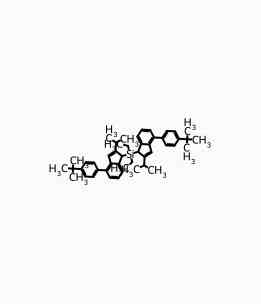 CC[Si](CC)(C1C(C(C)C)=Cc2c(-c3ccc(C(C)(C)C)cc3)cccc21)C1C(C(C)C)=Cc2c(-c3ccc(C(C)(C)C)cc3)cccc21